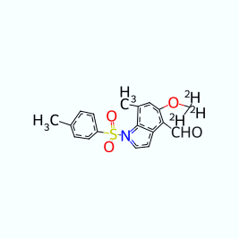 [2H]C([2H])([2H])Oc1cc(C)c2c(ccn2S(=O)(=O)c2ccc(C)cc2)c1C=O